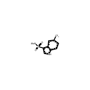 CNS(=O)(=O)c1c[nH]c2ccc(C(F)(F)F)cc12